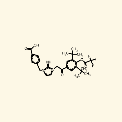 CC(C)(C)c1cc(C(=O)Cn2ccn(Cc3ccc(C(=O)O)cc3)c2=N)cc(C(C)(C)C)c1OC(=O)C(F)(F)F